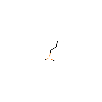 [CH2]CCP(C)C